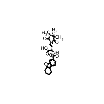 CN1C(=O)N(CC[C@H](NS(=O)(=O)c2ccc3c4c(oc3c2)CCCC4)C(=O)O)C(=O)C1(C)C